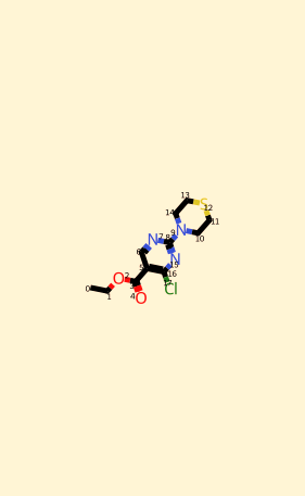 CCOC(=O)c1cnc(N2CCSCC2)nc1Cl